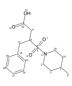 CC1CCN(S(=O)(=O)C(CC(=O)O)Cc2ccccc2)CC1